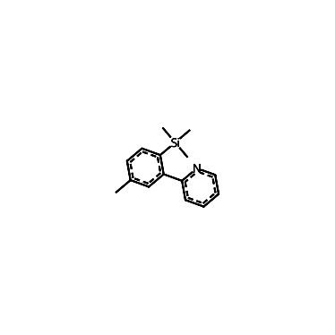 Cc1ccc([Si](C)(C)C)c(-c2ccccn2)c1